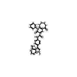 Cn1cc(-c2ccc(NC(=O)c3cc4c(n(-c5ccccc5)c3=O)CCCCC4=O)nc2)c2c(N)ncnc21